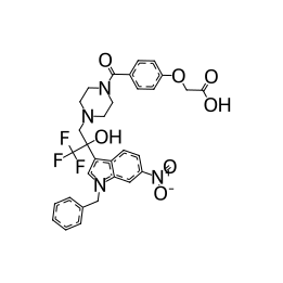 O=C(O)COc1ccc(C(=O)N2CCN(CC(O)(c3cn(Cc4ccccc4)c4cc([N+](=O)[O-])ccc34)C(F)(F)F)CC2)cc1